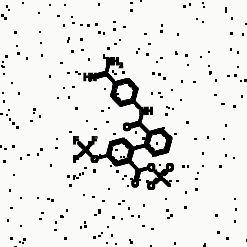 CS(=O)(=O)OC(=O)c1cc(OC(F)(F)F)ccc1-c1ccccc1C(=O)Nc1ccc(C(=N)N)cc1